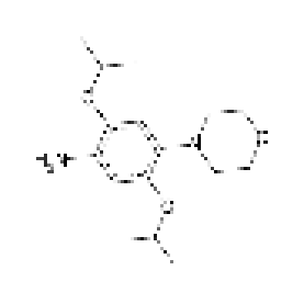 CC(C)Oc1cc(N2CCOCC2)c(OC(C)C)cc1N